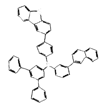 c1ccc(-c2cc(-c3ccccc3)cc(N(c3ccc(-c4ccc5sc6ccccc6c5c4)cc3)c3cccc(-c4ccc5ccccc5c4)c3)c2)cc1